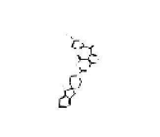 C=C(c1ncc(C#N)s1)c1n[nH]c2nc(N3CCC4(CC3)Cc3ccccc3[C@H]4N)[nH]c(=O)c12